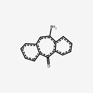 Bc1cc2ccccc2c(=O)c2ccccc12